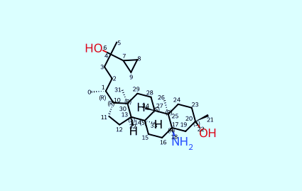 C[C@H](CCC(C)(O)C1CC1)[C@H]1CC[C@H]2[C@@H]3CC[C@@]4(N)C[C@@](C)(O)CC[C@]4(C)[C@H]3CC[C@]12C